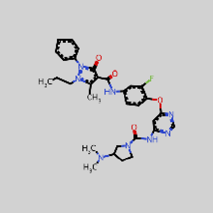 CCCn1c(C)c(C(=O)Nc2ccc(Oc3cc(NC(=O)N4CCC(N(C)C)C4)ncn3)c(F)c2)c(=O)n1-c1ccccc1